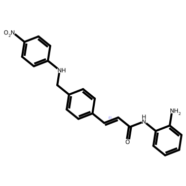 Nc1ccccc1NC(=O)/C=C/c1ccc(CNc2ccc([N+](=O)[O-])cc2)cc1